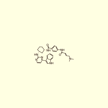 CN(C)C/C=C/C(=O)Nc1ccc(C(=O)N[C@H]2CCC[C@@H](Nc3nccc(-c4c[nH]c5ccccc45)n3)C2)cc1